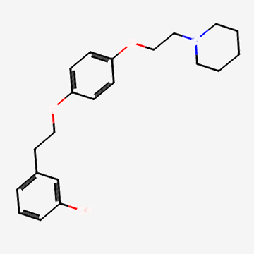 Oc1cccc(CCOc2ccc(OCCN3CCCCC3)cc2)c1